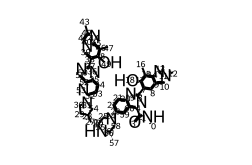 CNC(=O)c1nc(-c2cc3cn(C)nc3c(C)c2O)nc2ccc(N3C[C@@H](CC4CCN(c5ccc6nc(-c7cn8cc(C)nc8c(C)c7O)ncc6n5)C4)N[C@@H](C)C3)cc12